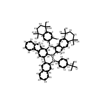 Cc1cc2c(cc1N1c3c(sc4cc5c(cc34)C(C)(C)CCC5(C)C)B3c4c(cc5c(sc6ccccc65)c41)-c1cc4ccccc4cc1N3c1ccc(C(C)(C)C)cc1)C(C)(C)CCC2(C)C